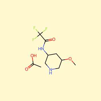 CC(=O)O.COC1CNCC(NC(=O)C(F)(F)F)C1